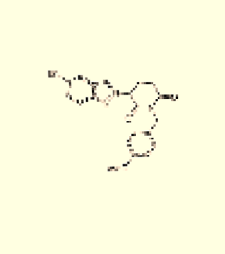 COc1ccc(CN2C(=O)CCC(n3cc4cc(Br)ccc4n3)C2=O)cc1